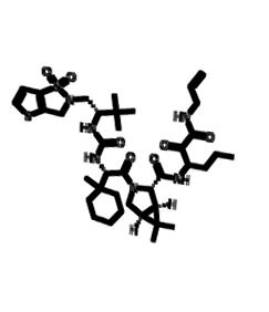 C=CCNC(=O)C(=O)C(CCC)NC(=O)[C@@H]1[C@@H]2[C@H](CN1C(=O)[C@@H](NC(=O)N[C@H](CN1Cc3sccc3S1(=O)=O)C(C)(C)C)C1(C)CCCCC1)C2(C)C